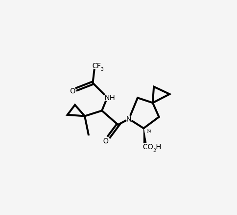 CC1(C(NC(=O)C(F)(F)F)C(=O)N2CC3(CC3)C[C@H]2C(=O)O)CC1